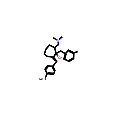 COc1ccc(C=C2CCCCC(CN(C)C)C2(O)Cc2cccc(C)c2)cc1